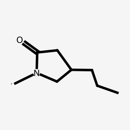 [CH2]N1CC(CCC)CC1=O